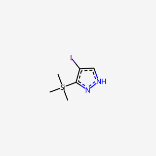 C[Si](C)(C)c1n[nH]cc1I